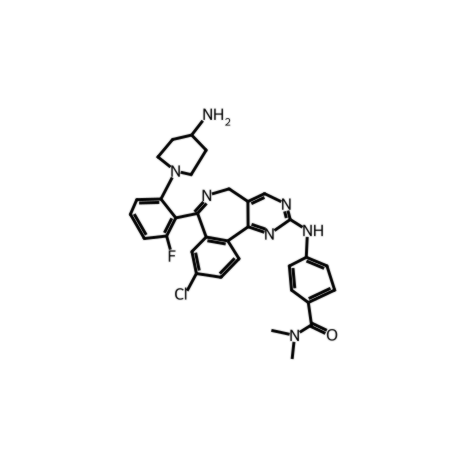 CN(C)C(=O)c1ccc(Nc2ncc3c(n2)-c2ccc(Cl)cc2C(c2c(F)cccc2N2CCC(N)CC2)=NC3)cc1